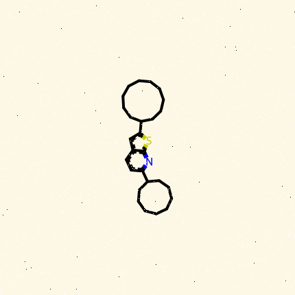 c1cc2cc(C3CCCCCCCCCC3)sc2nc1C1CCCCCCCC1